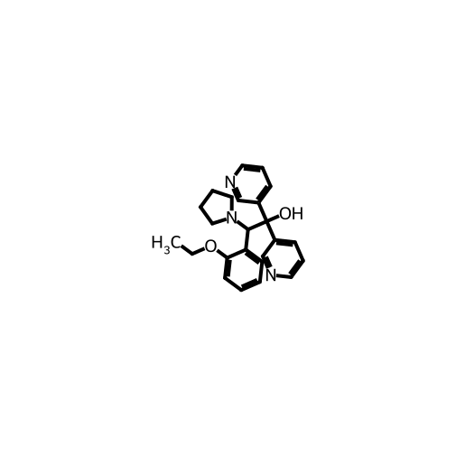 CCOc1ccccc1C(N1CCCC1)C(O)(c1cccnc1)c1cccnc1